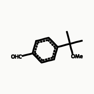 COC(C)(C)c1ccc(C=O)cc1